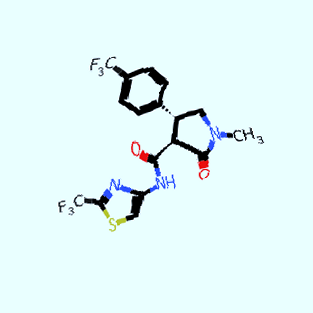 CN1C[C@@H](c2ccc(C(F)(F)F)cc2)[C@H](C(=O)Nc2csc(C(F)(F)F)n2)C1=O